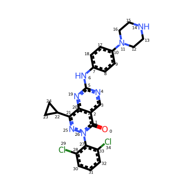 O=c1c2cnc(Nc3ccc(N4CCNCC4)cc3)nc2c(C2CC2)nn1-c1c(Cl)cccc1Cl